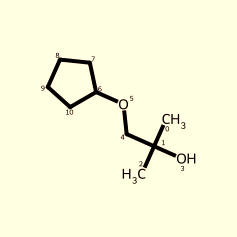 CC(C)(O)COC1CCCC1